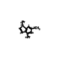 Cc1cc2c(ncn2C(C)C)c(C(C)C)n1